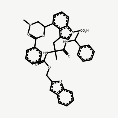 CC(NC(=O)C(C)(Cc1cn(C(=O)O)c2cccc(C(CN(C)C)OC(=O)c3ccccc3)c12)NC(=O)OCc1cc2ccccc2o1)c1ccccc1